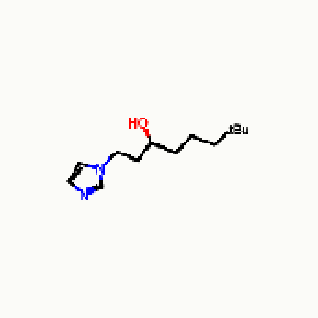 CC(C)(C)CCC[C@H](O)CCn1ccnc1